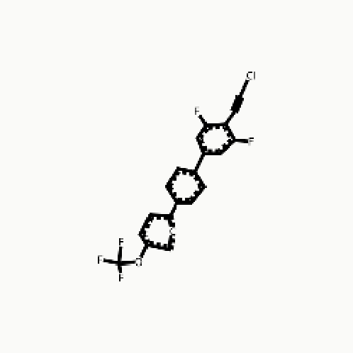 Fc1cc(-c2ccc(-c3ccc(OC(F)(F)F)cc3)cc2)cc(F)c1C#CCl